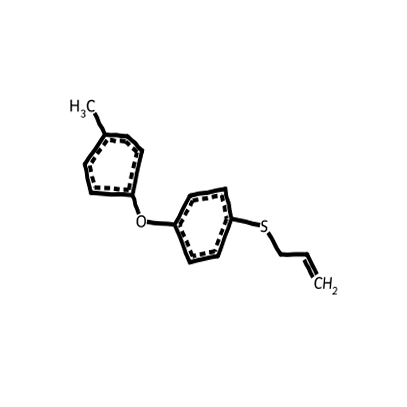 C=CCSc1ccc(Oc2ccc(C)cc2)cc1